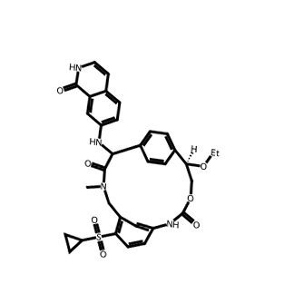 CCO[C@H]1COC(=O)Nc2ccc(S(=O)(=O)C3CC3)c(c2)CN(C)C(=O)C(Nc2ccc3cc[nH]c(=O)c3c2)c2ccc1cc2